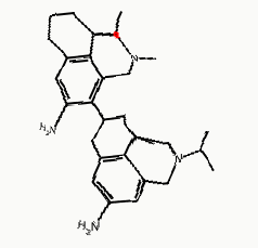 CCC12CCCc3cc(N)c(C4Cc5cc(N)cc6c5C(C)(C4)CN(C(C)C)C6)c(c31)CN(C)C2